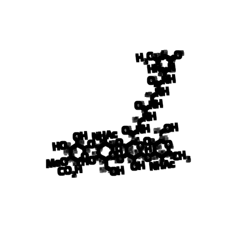 CO[C@@H]1C(C(=O)O)O[C@@H](O[C@@H]2C(NC(C)=O)[C@H](O[C@H]3C(O)C(O)[C@H](OC4C(NC(C)=O)[C@H](C)O[C@@H](CO)[C@H]4O)O[C@H]3C(=O)NCNC(=O)NCNC(=O)Nc3nc(=O)cc(C)[nH]3)OC(CO)[C@H]2O)C(O)[C@H]1O